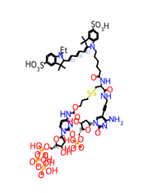 CCN1c2ccc(S(=O)(=O)O)cc2C(C)(C)C1/C=C/C=C/C=C1/N(CCCCCC(=O)NC(CSSCCCOC(=O)Nc2ccn([C@H]3CC(O)[C@@H](COP(=O)(O)OP(=O)(O)OP(=O)(O)O)O3)c(=O)n2)C(=O)NCC#Cc2cn([C@H]3CC(O)[C@@H](COP(=O)(O)O)O3)c(=O)nc2N)c2ccc(S(=O)(=O)O)cc2C1(C)C